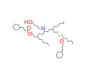 CCCCCC(CCOC(=O)CCC1CCCCC1)CCC(CCC(CCCCC)CCSCC(CCCC)OCCCC1CCCCC1)N(C)CCCCO